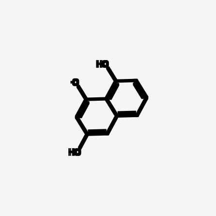 [O]c1cc(O)cc2cccc(O)c12